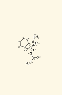 CC(=O)OOS(=O)(=O)C1(C(C)=O)CCCCC1